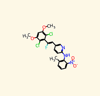 COc1cc(OC)c(Cl)c(/C(F)=C/c2ccc(Nc3c(C)cccc3[N+](=O)[O-])nc2)c1Cl